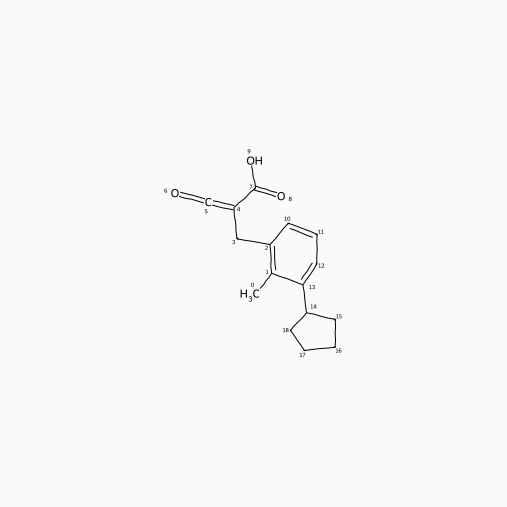 Cc1c(CC(=C=O)C(=O)O)cccc1C1CCCC1